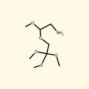 COC(CN)OCC(OC)(OC)OC